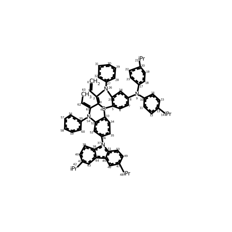 C=CC1=C2B(c3ccc(N(c4ccc(C(C)C)cc4)c4ccc(C(C)C)cc4)cc3N1c1ccccc1)c1ccc(-n3c4ccc(C(C)C)cc4c4cc(C(C)C)ccc43)cc1N(c1ccccc1)/C2=C/C